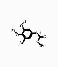 CCOc1cc(NC(=O)OC(C)C)cc(C(C)=O)c1OCC